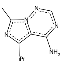 Cc1nc(C(C)C)c2c(N)ncnn12